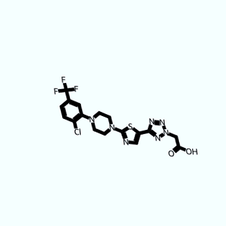 O=C(O)Cn1nnc(-c2cnc(N3CCN(c4cc(C(F)(F)F)ccc4Cl)CC3)s2)n1